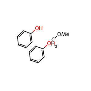 COC.Oc1ccccc1.Oc1ccccc1